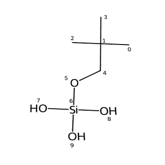 CC(C)(C)CO[Si](O)(O)O